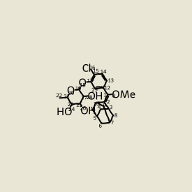 COC(=C1C2CC3CC(C2)CC1C3)c1ccc(Cl)c(OC2OC(C)C(O)C(O)C2O)c1